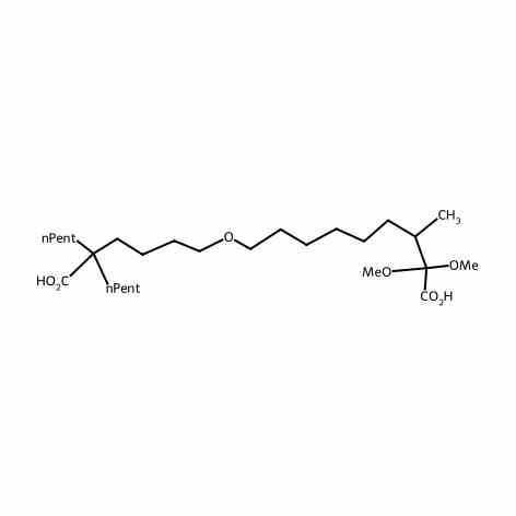 CCCCCC(CCCCC)(CCCCOCCCCCCC(C)C(OC)(OC)C(=O)O)C(=O)O